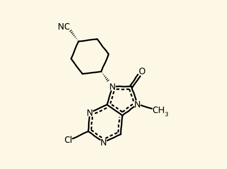 Cn1c(=O)n([C@H]2CC[C@@H](C#N)CC2)c2nc(Cl)ncc21